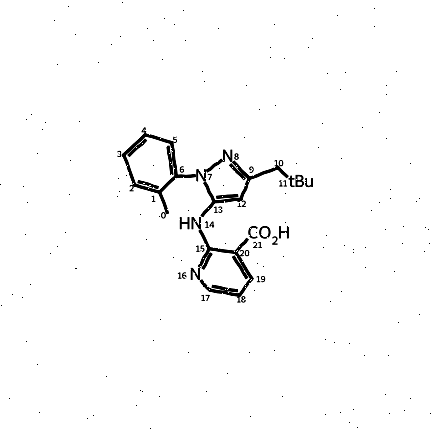 Cc1ccccc1-n1nc(CC(C)(C)C)cc1Nc1ncccc1C(=O)O